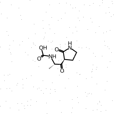 C[C@H](NC(=O)O)C(=O)[C@@H]1CCNC1=O